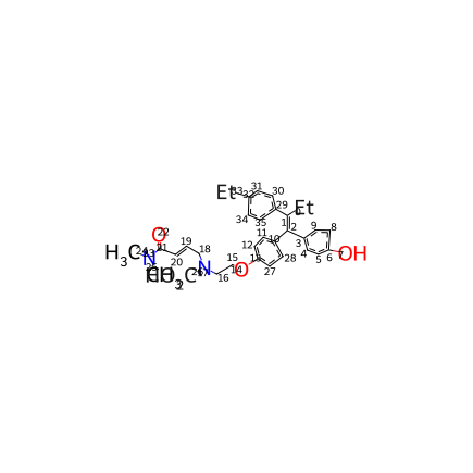 CC/C(=C(\c1ccc(O)cc1)c1ccc(OCCN(C/C=C/C(=O)N(C)C)C(=O)O)cc1)c1ccc(CC)cc1